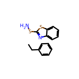 CCc1ccccc1.NSc1nc2ccccc2s1